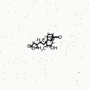 C[C@@H]1[C@H](O)C[C@@]23COC(=O)C2=CCCC3[C@@]1(C)CCC1COC(=O)C1